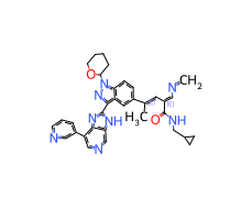 C=N/C=C(\C=C(/C)c1ccc2c(c1)c(-c1nc3c(-c4cccnc4)cncc3[nH]1)nn2C1CCCCO1)C(=O)NCC1CC1